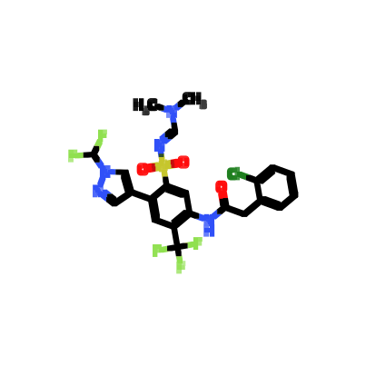 CN(C)C=NS(=O)(=O)c1cc(NC(=O)Cc2ccccc2Cl)c(C(F)(F)F)cc1-c1cnn(C(F)F)c1